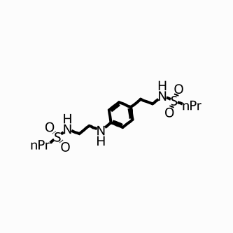 CCCS(=O)(=O)NCCNc1ccc(CCNS(=O)(=O)CCC)cc1